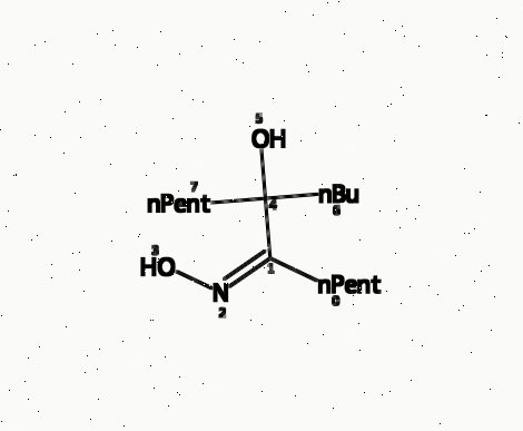 CCCCCC(=NO)C(O)(CCCC)CCCCC